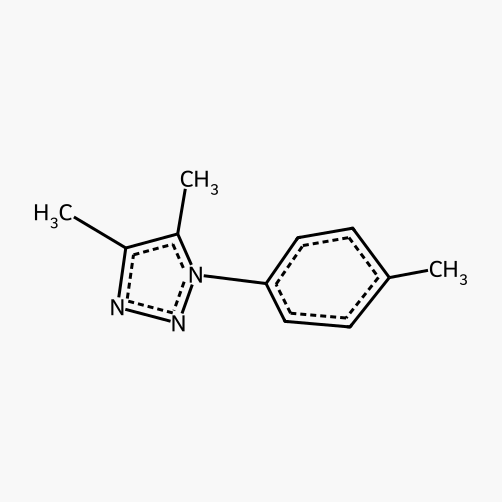 Cc1ccc(-n2nnc(C)c2C)cc1